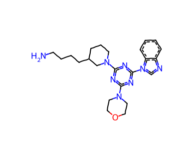 NCCCCC1CCCN(c2nc(N3CCOCC3)nc(-n3cnc4ccccc43)n2)C1